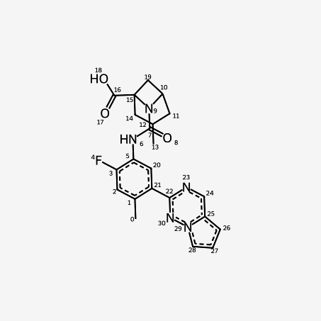 Cc1cc(F)c(NC(=O)N2C3CC(C)CC2(C(=O)O)C3)cc1-c1ncc2cccn2n1